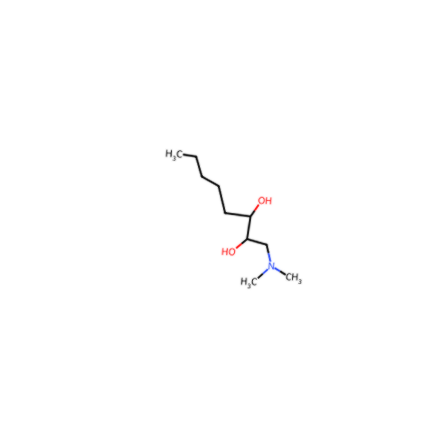 CCCCCC(O)C(O)CN(C)C